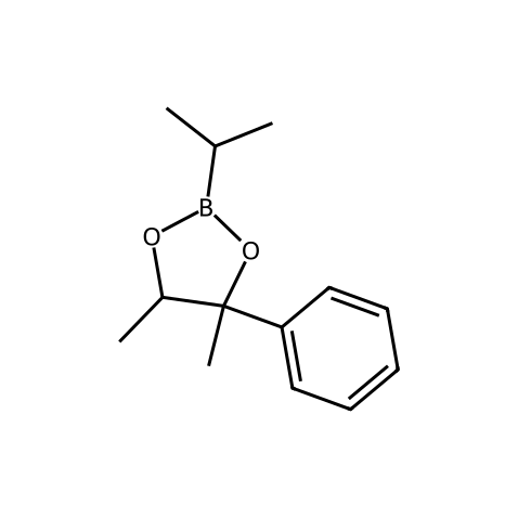 CC(C)B1OC(C)C(C)(c2ccccc2)O1